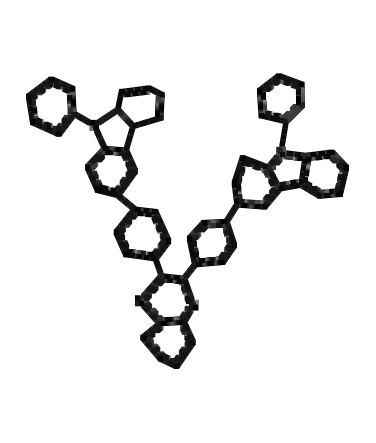 C1=CC2c3cc(-c4ccc(-c5nc6ccccc6nc5-c5ccc(-c6ccc7c(c6)c6ccccc6n7-c6ccccc6)cc5)cc4)ccc3N(c3ccccc3)C2C=C1